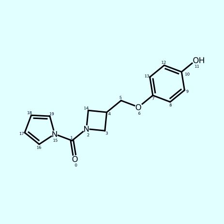 O=C(N1CC(COc2ccc(O)cc2)C1)n1cccc1